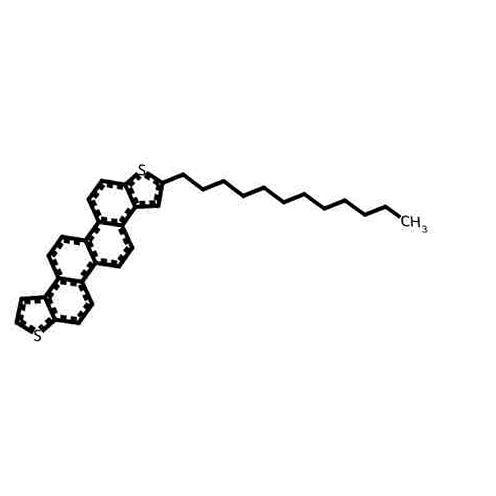 CCCCCCCCCCCCc1cc2c(ccc3c2ccc2c4ccc5sccc5c4ccc32)s1